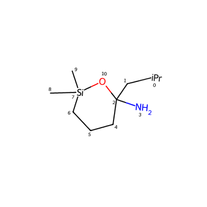 CC(C)CC1(N)CCC[Si](C)(C)O1